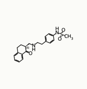 CS(=O)(=O)Nc1ccc(CCNC[C@@H]2CCc3ccccc3C2=O)cc1